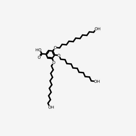 O=C(O)c1cc(OCCCCCCCCCCCO)c(OCCCCCCCCCCCO)c(OCCCCCCCCCCCO)c1